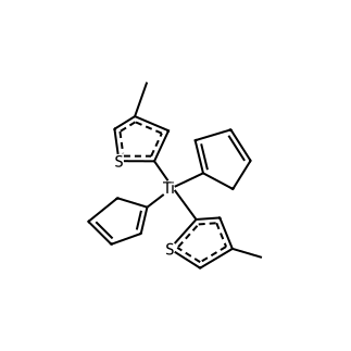 Cc1cs[c]([Ti]([C]2=CC=CC2)([C]2=CC=CC2)[c]2cc(C)cs2)c1